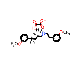 CC(C)C(C#N)(CCCN(C)CCc1cccc(OC(F)(F)F)c1)c1cccc(OC(F)(F)F)c1.O=C(O)C(=O)O